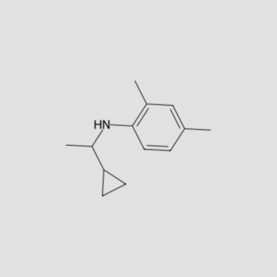 Cc1ccc(NC(C)C2CC2)c(C)c1